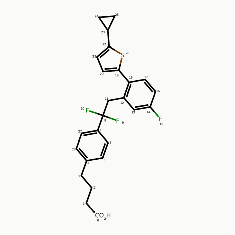 O=C(O)CCCc1ccc(C(F)(F)Cc2cc(F)ccc2-c2ccc(C3CC3)s2)cc1